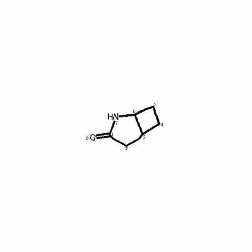 O=C1CC2CCC2N1